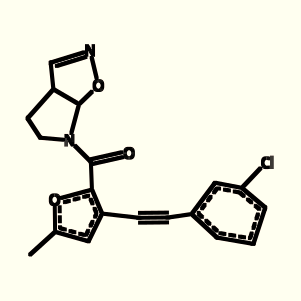 Cc1cc(C#Cc2cccc(Cl)c2)c(C(=O)N2CCC3C=NOC32)o1